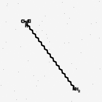 NCCCCCCCCCCCCCCCCCCCCCCCCCCCCCCCC[SiH](Cl)Cl